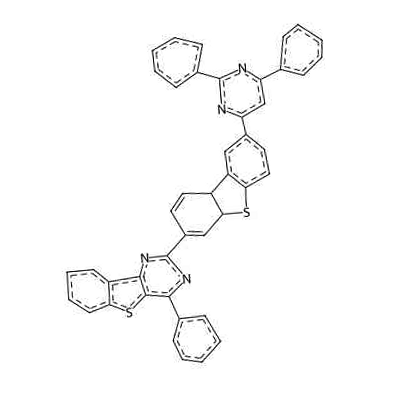 C1=CC2c3cc(-c4cc(-c5ccccc5)nc(-c5ccccc5)n4)ccc3SC2C=C1c1nc(-c2ccccc2)c2sc3ccccc3c2n1